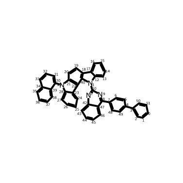 c1ccc(-c2ccc(-c3nc(-n4c5ccccc5c5ccc6c(c7ccccc7n6-c6cccc7ccccc67)c54)nc4ccccc34)cc2)cc1